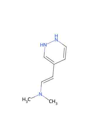 CN(C)/C=C/C1=CNNC=C1